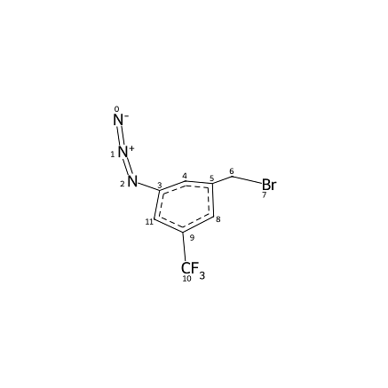 [N-]=[N+]=Nc1cc(CBr)cc(C(F)(F)F)c1